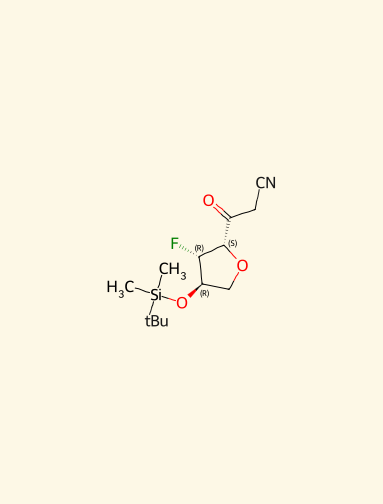 CC(C)(C)[Si](C)(C)O[C@@H]1CO[C@@H](C(=O)CC#N)[C@H]1F